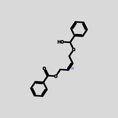 O=C(OC/C=C\COC(O)c1ccccc1)c1ccccc1